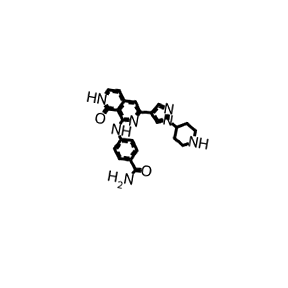 NC(=O)c1ccc(Nc2nc(-c3cnn(C4CCNCC4)c3)cc3cc[nH]c(=O)c23)cc1